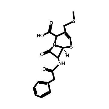 CSCC1=CS[C@H]2[C@H](NC(=O)Cc3ccccc3)C(=O)N2C1C(=O)O